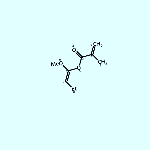 C=C(C)C(=O)OC(=CCC)OC